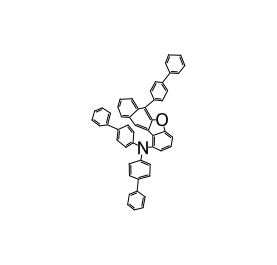 c1ccc(-c2ccc(-c3c4ccccc4cc4c3oc3cccc(N(c5ccc(-c6ccccc6)cc5)c5ccc(-c6ccccc6)cc5)c34)cc2)cc1